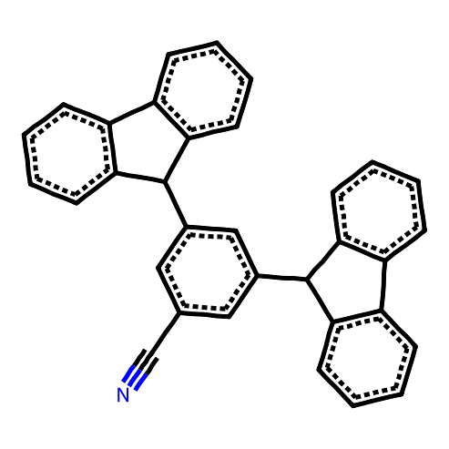 N#Cc1cc(C2c3ccccc3-c3ccccc32)cc(C2c3ccccc3-c3ccccc32)c1